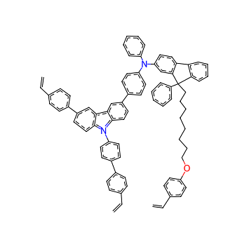 C=Cc1ccc(OCCCCCCCCC2(c3ccccc3)c3ccccc3-c3ccc(N(c4ccccc4)c4ccc(-c5ccc6c(c5)c5cc(-c7ccc(C=C)cc7)ccc5n6-c5ccc(-c6ccc(C=C)cc6)cc5)cc4)cc32)cc1